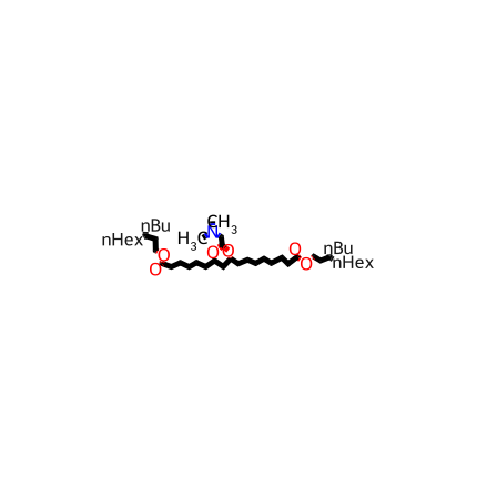 CCCCCCC(CCCC)CCOC(=O)CCCCCCCC(CCCCCCCC(=O)OCCC(CCCC)CCCCCC)OC(=O)CN(C)C